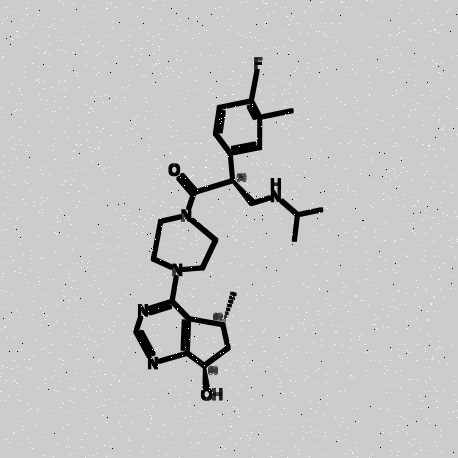 Cc1cc([C@@H](CNC(C)C)C(=O)N2CCN(c3ncnc4c3[C@H](C)C[C@H]4O)CC2)ccc1F